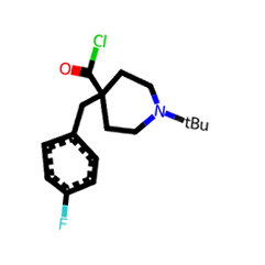 CC(C)(C)N1CCC(Cc2ccc(F)cc2)(C(=O)Cl)CC1